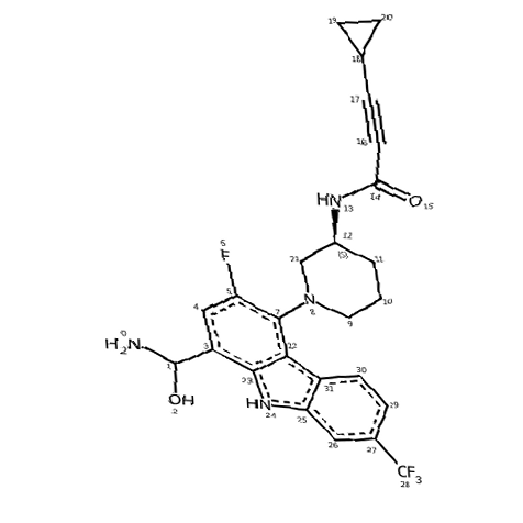 NC(O)c1cc(F)c(N2CCC[C@H](NC(=O)C#CC3CC3)C2)c2c1[nH]c1cc(C(F)(F)F)ccc12